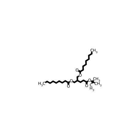 CCCCCCCCC(=O)OCC(CCC(=O)OC(C)(C)C)COC(=O)CCCCCCCC